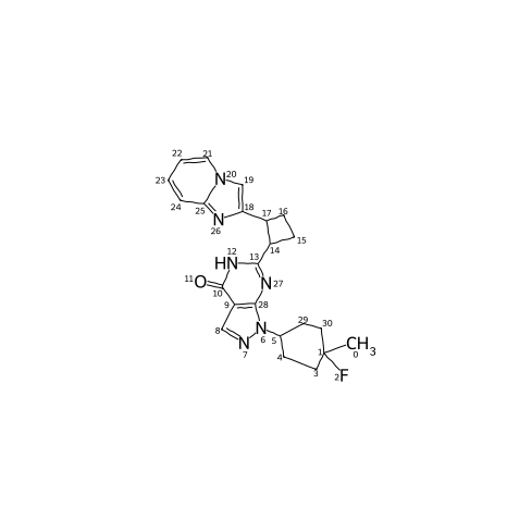 CC1(F)CCC(n2ncc3c(=O)[nH]c(C4CCC4c4cn5ccccc5n4)nc32)CC1